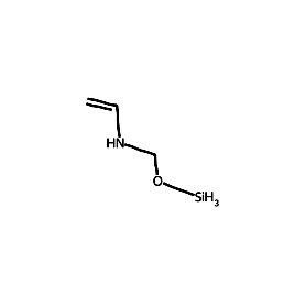 C=CNCO[SiH3]